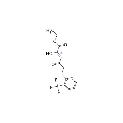 CCOC(=O)/C(O)=C/C(=O)CCc1ccccc1C(F)(F)F